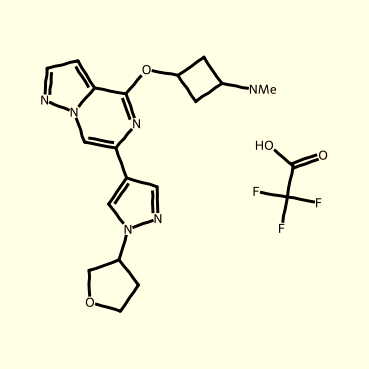 CNC1CC(Oc2nc(-c3cnn(C4CCOC4)c3)cn3nccc23)C1.O=C(O)C(F)(F)F